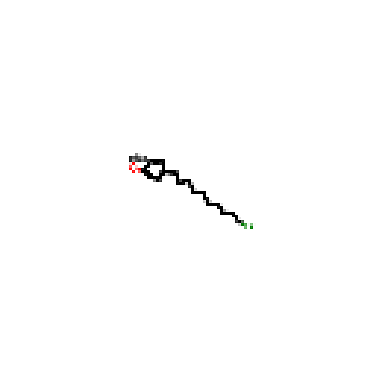 CCCCOc1ccc(CCCCCCCCCCBr)cc1